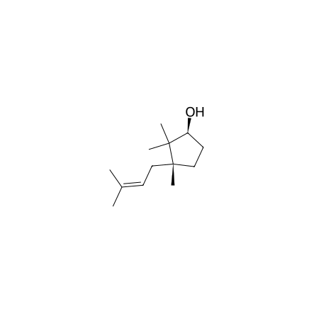 CC(C)=CC[C@@]1(C)CC[C@H](O)C1(C)C